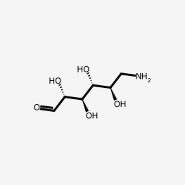 NC[C@@H](O)[C@@H](O)[C@@H](O)[C@@H](O)C=O